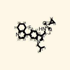 CC(C)Cn1cc([C@@H](C)NS(=O)(=O)C2CC2)c2cc(F)c(-c3ccnc4c3CCCC4)cc21